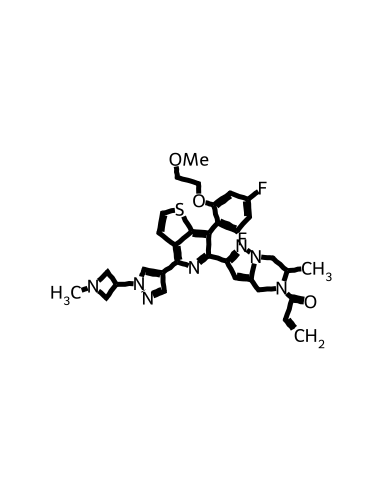 C=CC(=O)N1Cc2cc(-c3nc(-c4cnn(C5CN(C)C5)c4)c4ccsc4c3-c3c(F)cc(F)cc3OCCOC)nn2CC1C